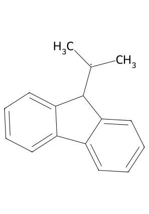 C[C](C)C1c2ccccc2-c2ccccc21